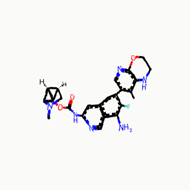 Cc1c(-c2cc3cc(NC(=O)O[C@@]45C6[C@H]4[C@H]5CN6C)ncc3c(N)c2F)cnc2c1NCCO2